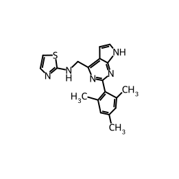 Cc1cc(C)c(-c2nc(CNc3nccs3)c3cc[nH]c3n2)c(C)c1